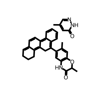 Cc1cc2c(cc1C1=c3ccccc3=c3ccc4c(c3C1)CCCC=4)NC(=O)C(C)O2.Cc1cn[nH]c(=O)c1